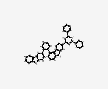 c1ccc(-c2nc(-c3ccccc3)nc(-c3ccc4c(c3)sc3cccc(-c5ccccc5-c5ccc6oc7ccccc7c6c5)c34)n2)cc1